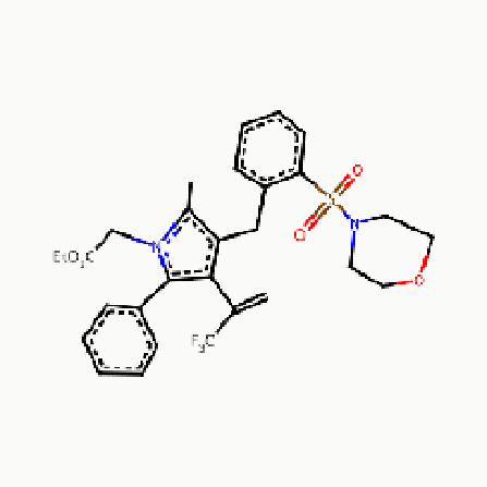 C=C(c1c(Cc2ccccc2S(=O)(=O)N2CCOCC2)c(C)n(CC(=O)OCC)c1-c1ccccc1)C(F)(F)F